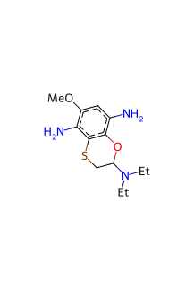 CCN(CC)C1CSc2c(N)c(OC)cc(N)c2O1